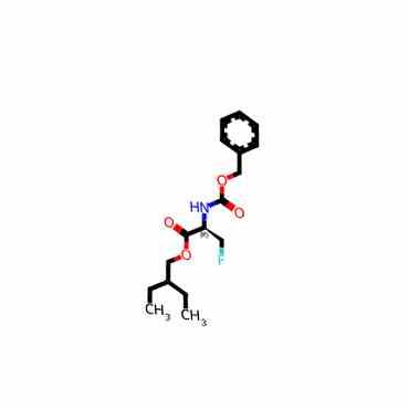 CCC(CC)COC(=O)[C@H](CF)NC(=O)OCc1ccccc1